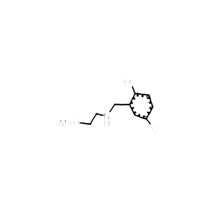 [CH2-][CH+]c1ccc(Cl)cc1CNCCOC